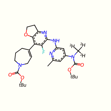 [2H]C([2H])([2H])N(C(=O)OC(C)(C)C)c1cc(C)nc(Nc2nc3c(c(C4=CCN(C(=O)OC(C)(C)C)CCC4)c2F)OCC3)c1